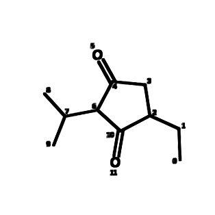 CCC1CC(=O)C(C(C)C)C1=O